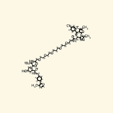 Cc1ncoc1-c1ccc(CNC(=O)C2CC(O)CN2C(=O)C(NC(=O)COCCOCCOCCCOCCOCCNC(=O)CC2N=C(c3ccc(Cl)cc3)c3c(oc(C)c3C)-n3c(C)nnc32)C(C)(C)C)cc1